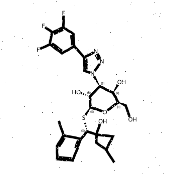 Cc1ccccc1[C@H](S[C@@H]1O[C@H](CO)[C@H](O)[C@H](n2cc(-c3cc(F)c(F)c(F)c3)nn2)[C@H]1O)C1(O)CC(C)C1